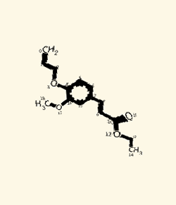 C=CCOc1ccc(C=CC(=O)OCC)cc1OC